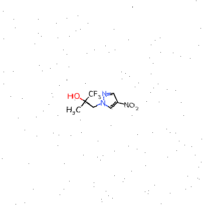 CC(O)(Cn1cc([N+](=O)[O-])cn1)C(F)(F)F